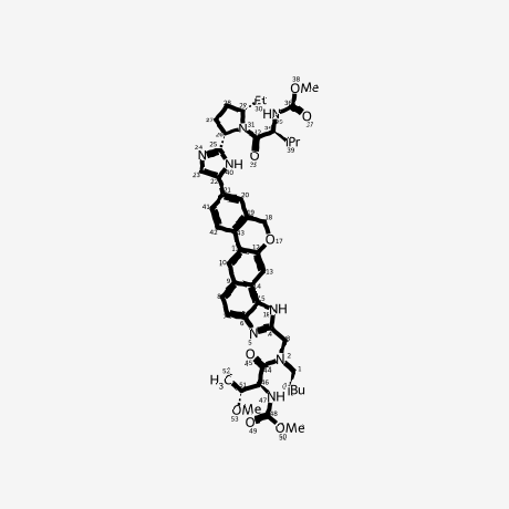 CC[C@H](C)CN(Cc1nc2ccc3cc4c(cc3c2[nH]1)OCc1cc(-c2cnc([C@@H]3CC[C@H](CC)N3C(=O)[C@@H](NC(=O)OC)C(C)C)[nH]2)ccc1-4)C(=O)[C@@H](NC(=O)OC)[C@@H](C)OC